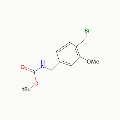 COc1cc(CNC(=O)OC(C)(C)C)ccc1CBr